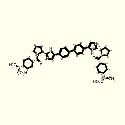 CN(C(=O)O)[C@H]1CC[C@@H](C(=O)N2CCC[C@H]2c2ncc(-c3ccc(-c4ccc(-c5cnc([C@@H]6CCCN6C(=O)[C@H]6CC[C@@H](N(C)C(=O)O)CC6)[nH]5)cc4)cc3)[nH]2)CC1